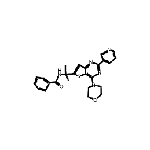 CC(C)(NC(=O)c1ccccc1)c1cc2nc(-c3cccnc3)nc(N3CCOCC3)c2s1